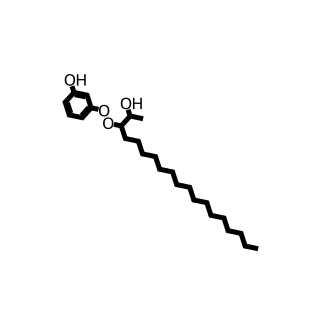 CCCCCCCCCCCCCCCCC(OOc1cccc(O)c1)C(C)O